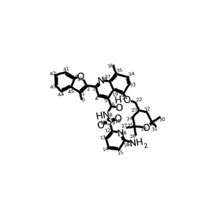 Cc1c(-c2cc(C(O)NS(=O)(=O)c3cccc(N)n3)c3c(OCC4CC(C)(C)OC(C)(C)C4)ccc(C)c3n2)oc2ccccc12